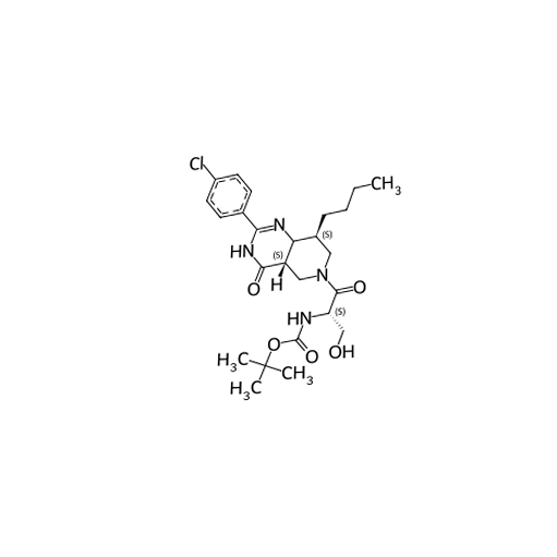 CCCC[C@H]1CN(C(=O)[C@H](CO)NC(=O)OC(C)(C)C)C[C@@H]2C(=O)NC(c3ccc(Cl)cc3)=NC12